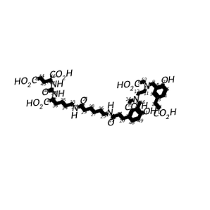 O=C(O)CCc1ccc(O)c(CN(CCN(CC(=O)O)Cc2cc(CCC(=O)NCCCCCC(=O)NCCCCC(NC(=O)N[C@@H](CCC(=O)O)C(=O)O)C(=O)O)ccc2O)CC(=O)O)c1